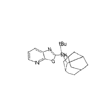 CC(C)(C)CC12CC3CC(C1)C(Nc1nc4cccnc4o1)C(C3)C2